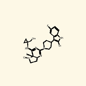 CCc1[nH]c2ccc(F)cc2c1C1CCN(C2=NC3CC[S+]([O-])C3(I)C(NC3(CO)CC3)=N2)CC1